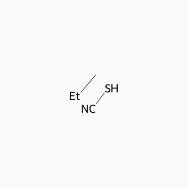 CCC.N#CS